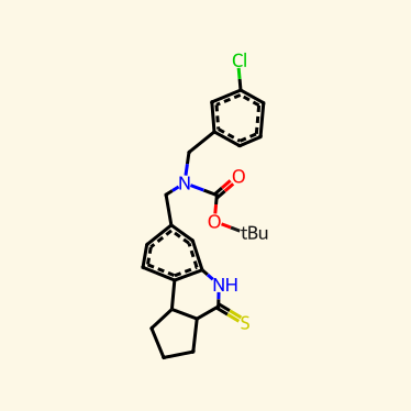 CC(C)(C)OC(=O)N(Cc1cccc(Cl)c1)Cc1ccc2c(c1)NC(=S)C1CCCC21